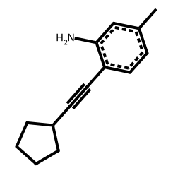 Cc1ccc(C#CC2CCCC2)c(N)c1